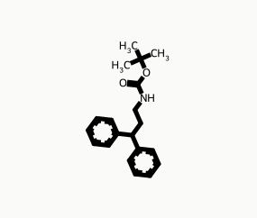 CC(C)(C)OC(=O)NCCC(c1ccccc1)c1ccccc1